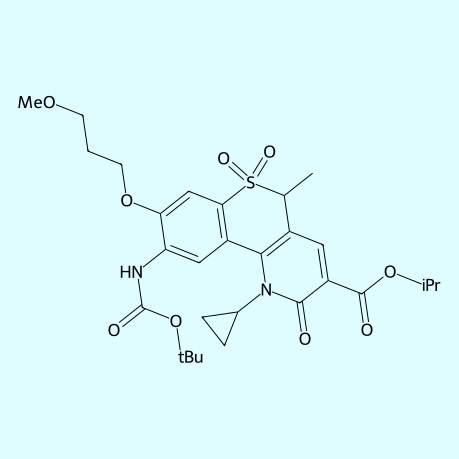 COCCCOc1cc2c(cc1NC(=O)OC(C)(C)C)-c1c(cc(C(=O)OC(C)C)c(=O)n1C1CC1)C(C)S2(=O)=O